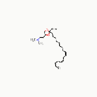 CC/C=C\C/C=C\C/C=C\CCCCCCCCC1(CCCCC)OCC(CCN(C)C)O1